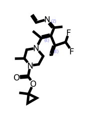 C=C\N=C(C)/C(C(=C\C)/C(F)F)=C(\C)N1CCN(C(=O)OC2(C)CC2)C(C)C1